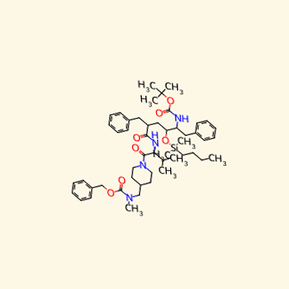 CCCC[Si](C)(C)OC(CC(Cc1ccccc1)C(=O)N[C@H](C(=O)N1CCC(CN(C)C(=O)OCc2ccccc2)CC1)C(C)C)C(Cc1ccccc1)NC(=O)OC(C)(C)C